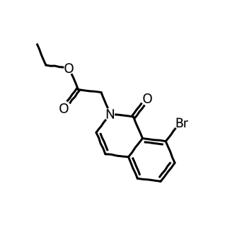 CCOC(=O)Cn1ccc2cccc(Br)c2c1=O